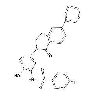 O=C1c2ccc(-c3ccccc3)cc2CCN1c1ccc(O)c(NS(=O)(=O)c2ccc(F)cc2)c1